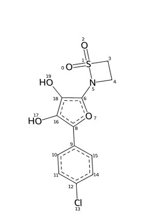 O=S1(=O)CCN1c1oc(-c2ccc(Cl)cc2)c(O)c1O